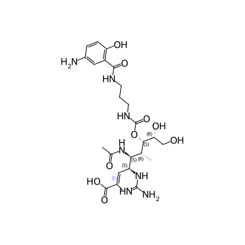 CC(=O)N[C@@H]([C@@H](C)[C@H](OC(=O)NCCCNC(=O)c1cc(N)ccc1O)[C@H](O)CO)[C@H](/C=C(\C)C(=O)O)NC(=N)N